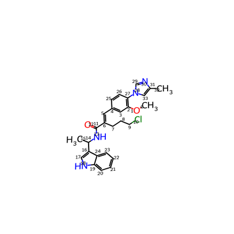 COc1cc(/C=C(\CCCCl)C(=O)NC(C)c2c[nH]c3ccccc23)ccc1-n1cnc(C)c1